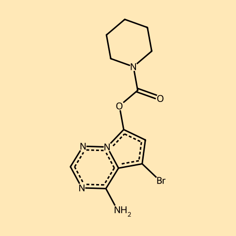 Nc1ncnn2c(OC(=O)N3CCCCC3)cc(Br)c12